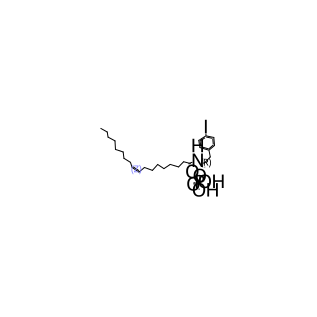 CCCCCCCC/C=C\CCCCCCCC(=O)N[C@@H](COP(=O)(O)O)Cc1ccc(I)cc1